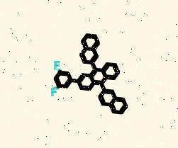 Fc1cc(F)cc(-c2ccc3c(-c4ccc5ccccc5c4)c4ccccc4c(-c4ccc5ccccc5c4)c3c2)c1